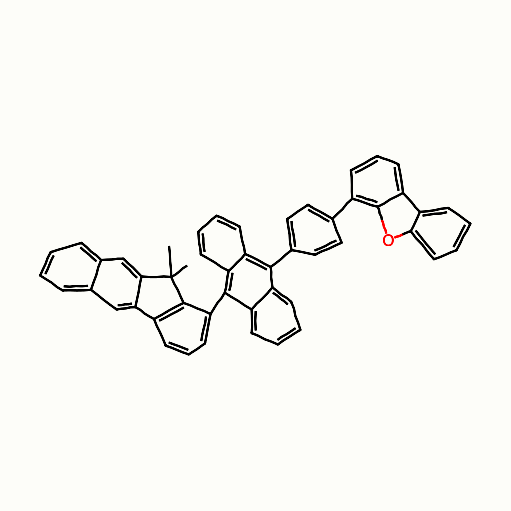 CC1(C)c2cc3ccccc3cc2-c2cccc(-c3c4ccccc4c(-c4ccc(-c5cccc6c5oc5ccccc56)cc4)c4ccccc34)c21